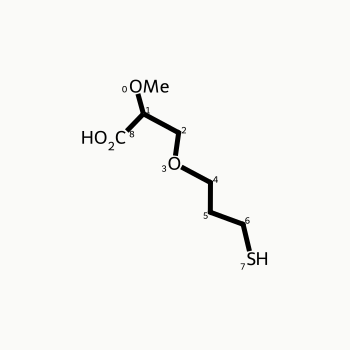 COC(COCCCS)C(=O)O